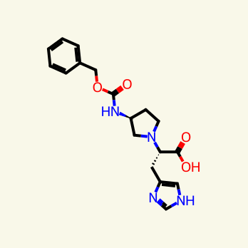 O=C(N[C@H]1CCN([C@@H](Cc2c[nH]cn2)C(=O)O)C1)OCc1ccccc1